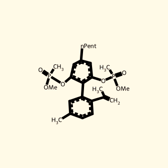 C=C(C)c1ccc(C)cc1-c1c(OP(C)(=O)OC)cc(CCCCC)cc1OP(C)(=O)OC